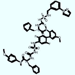 COc1ccc(N(C)C(=O)[C@H](Cc2ccccc2)NC(=O)NS(=O)(=O)Nc2cc(F)c(-c3cc(OC)ccc3N(C)C(=O)[C@H](Cc3ccccc3)NC(=O)NS(=O)(=O)NCc3cccc(-n4cccn4)c3)cc2F)cc1